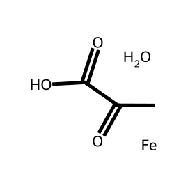 CC(=O)C(=O)O.O.[Fe]